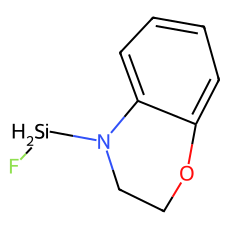 F[SiH2]N1CCOc2ccccc21